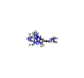 CCc1cc2c(NC(CC)CCN(C)C(C)C)nc(N3CCCC3)nc2cc1C#CCCN(CC)CC